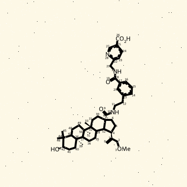 C=C(COC)[C@@H]1CC[C@]2(C(=O)NCCc3cccc(C(=O)NCc4ccc(C(=O)O)cn4)c3)CC[C@]3(C)C(CCC4[C@@]5(C)CC[C@H](O)C(C)(C)C5CC[C@]43C)C12